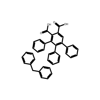 O=C(O)c1cc(-c2ccccc2)c(-c2ccccc2)c(-c2ccccc2)c1C(=O)O.c1ccc(Cc2ccccc2)cc1